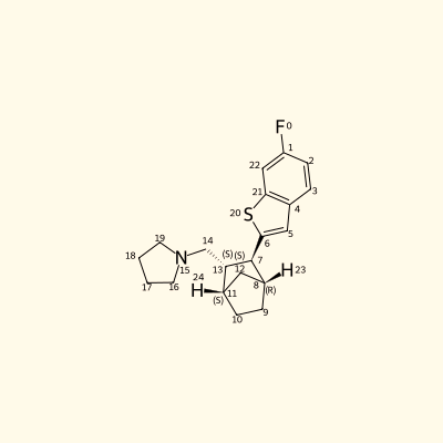 Fc1ccc2cc([C@H]3[C@@H]4CC[C@@H](C4)[C@@H]3CN3CCCC3)sc2c1